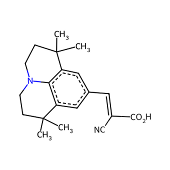 CC1(C)CCN2CCC(C)(C)c3cc(/C=C(\C#N)C(=O)O)cc1c32